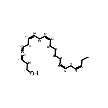 CC/C=C\C/C=C\CCCC/C=C\C/C=C\CC=C=CCCO